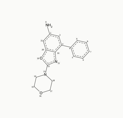 Nc1cc(-c2ccccc2)c2nc(N3CCOCC3)oc2c1